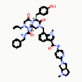 C=CCN1CC(=O)N2[C@@H](Cc3ccc(O)cc3)C(=O)N(Cc3cccc4c(C(=O)Nc5ccc(N6CC7CCN(C)C7C6)nc5)cn(C)c34)C[C@@H]2N1C(=O)NCc1ccccc1